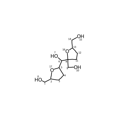 OCC1CCC(C(O)C2(CO)CCC(CO)O2)O1